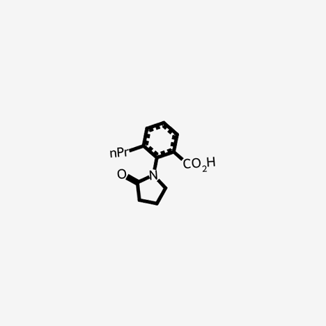 CCCc1cccc(C(=O)O)c1N1CCCC1=O